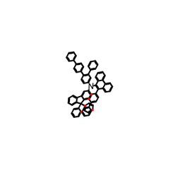 c1ccc(-c2ccc(-c3ccc(N(c4ccc5c(c4)-c4ccccc4C5(c4ccccc4)c4ccccc4)c4c(-c5ccc(-c6ccccc6)cc5)c5ccccc5c5ccccc45)cc3-c3ccccc3)cc2)cc1